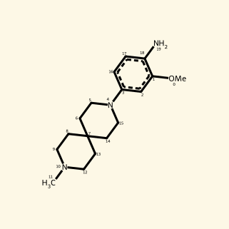 COc1cc(N2CCC3(CCN(C)CC3)CC2)ccc1N